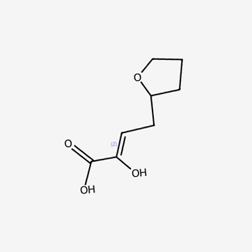 O=C(O)/C(O)=C/CC1CCCO1